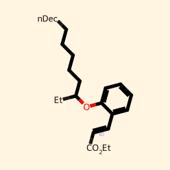 CCCCCCCCCCCCCCCC(CC)Oc1ccccc1/C=C/C(=O)OCC